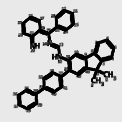 CC1(C)c2ccccc2-c2cc(N/C=N/C(=C3/C=CC=CC3=N)c3ccccc3)c(-c3ccc(-c4ccccc4)cc3)cc21